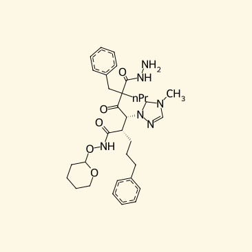 CCCC(Cc1ccccc1)(C(=O)NN)C(=O)[C@@H]([C@H](CCCc1ccccc1)C(=O)NOC1CCCCO1)N1CN(C)C=N1